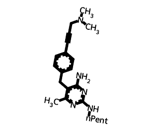 CCCCCNc1nc(C)c(Cc2ccc(C#CCN(C)C)cc2)c(N)n1